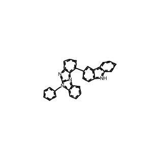 c1ccc(-n2c3ccccc3n3c4c(-c5ccc6[nH]c7ccccc7c6c5)cccc4nc23)cc1